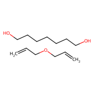 C=CCOCC=C.OCCCCCCCO